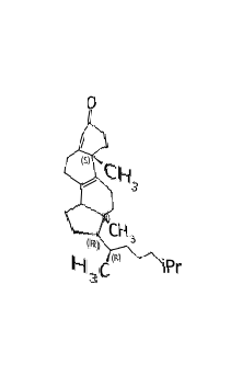 CC(C)CCC[C@@H](C)[C@H]1CCC2C3=C(CC[C@@]21C)[C@@]1(C)CCC(=O)C=C1CC3